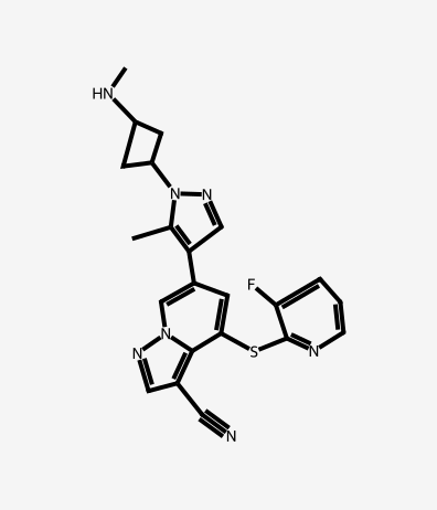 CNC1CC(n2ncc(-c3cc(Sc4ncccc4F)c4c(C#N)cnn4c3)c2C)C1